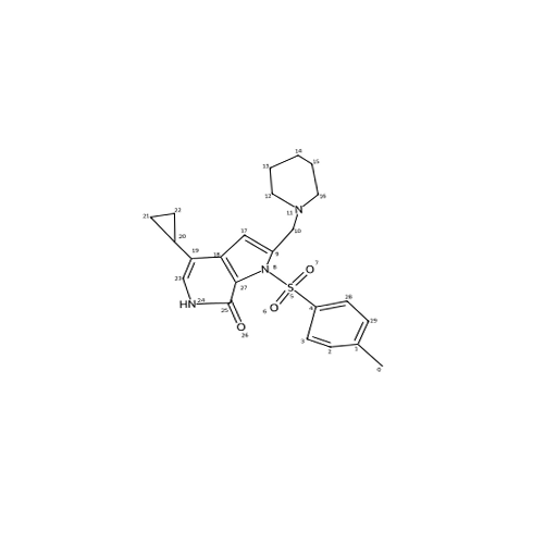 Cc1ccc(S(=O)(=O)n2c(CN3CCCCC3)cc3c(C4CC4)c[nH]c(=O)c32)cc1